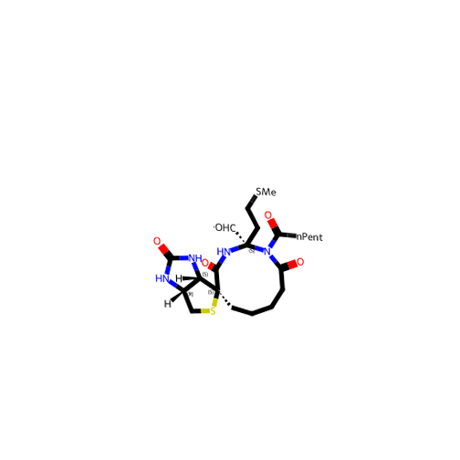 CCCCCC(=O)N1C(=O)CCCC[C@@]2(SC[C@@H]3NC(=O)N[C@@H]32)C(=O)N[C@@]1([C]=O)CCSC